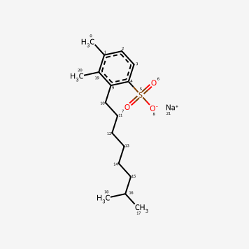 Cc1ccc(S(=O)(=O)[O-])c(CCCCCCC(C)C)c1C.[Na+]